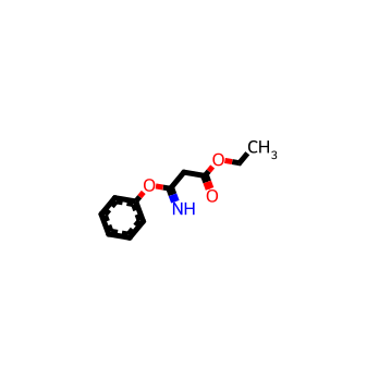 CCOC(=O)CC(=N)Oc1ccccc1